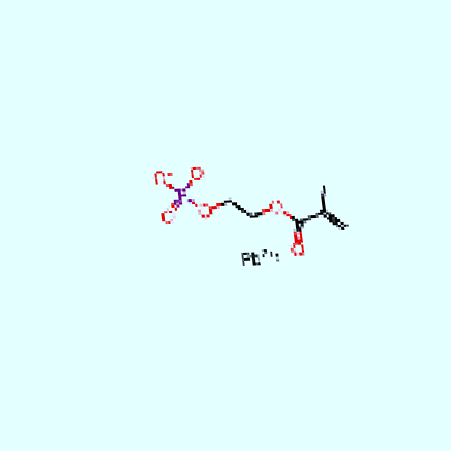 C=C(C)C(=O)OCCOP(=O)([O-])[O-].[Pb+2]